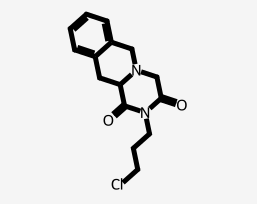 O=C1CN2Cc3ccccc3CC2C(=O)N1CCCCl